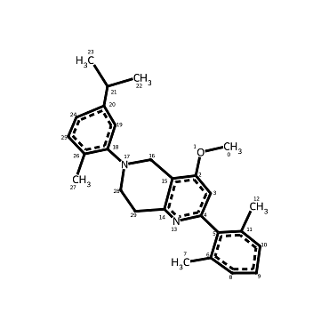 COc1cc(-c2c(C)cccc2C)nc2c1CN(c1cc(C(C)C)ccc1C)CC2